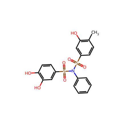 Cc1ccc(S(=O)(=O)N(c2ccccc2)S(=O)(=O)c2ccc(O)c(O)c2)cc1O